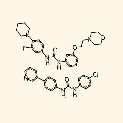 O=C(Nc1ccc(Cl)cc1)Nc1ccc(-c2cccnc2)cc1.O=C(Nc1cccc(OCCN2CCOCC2)c1)Nc1ccc(N2CCCCC2)c(F)c1